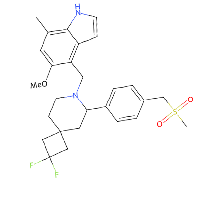 COc1cc(C)c2[nH]ccc2c1CN1CCC2(CC1c1ccc(CS(C)(=O)=O)cc1)CC(F)(F)C2